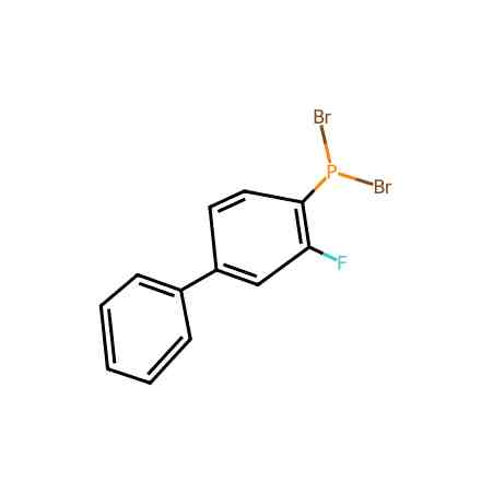 Fc1cc(-c2ccccc2)ccc1P(Br)Br